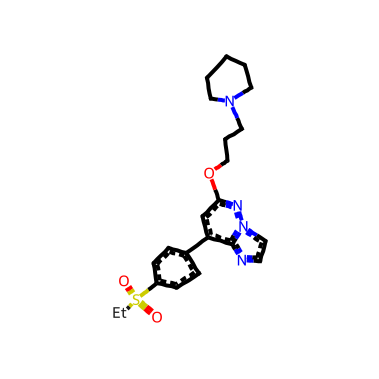 CCS(=O)(=O)c1ccc(-c2cc(OCCCN3CCCCC3)nn3ccnc23)cc1